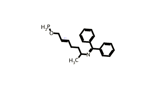 CC(CC/C=C/COP)N=C(c1ccccc1)c1ccccc1